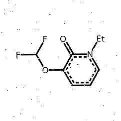 CCn1cccc(OC(F)F)c1=O